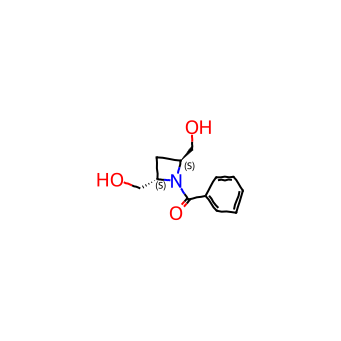 O=C(c1ccccc1)N1[C@H](CO)C[C@H]1CO